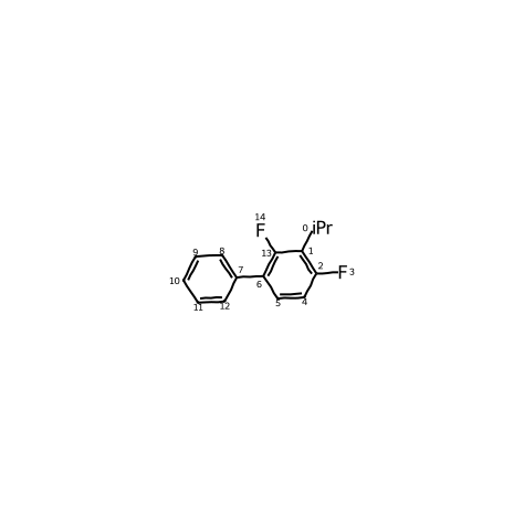 CC(C)c1c(F)ccc(-c2ccccc2)c1F